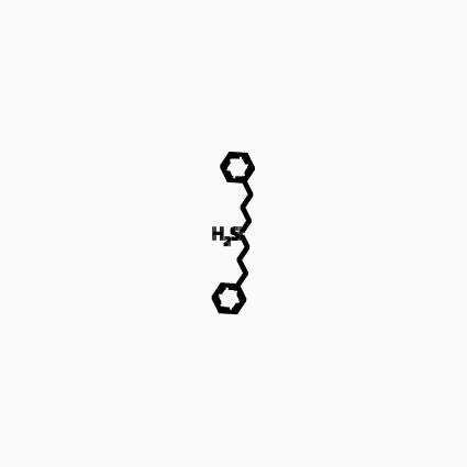 c1ccc(CCC[SiH2]CCCc2ccccc2)cc1